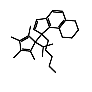 CCCCCC1(C2(C(C)C)C(C)=C(C)C(C)=C2C)C=Cc2ccc3c(c21)CCCC3